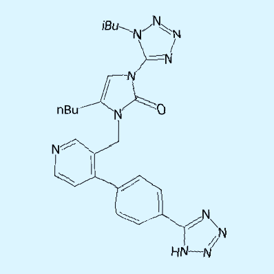 CCCCc1cn(-c2nnnn2C(C)CC)c(=O)n1Cc1cnccc1-c1ccc(-c2nnn[nH]2)cc1